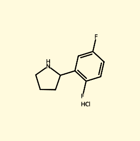 Cl.Fc1ccc(F)c(C2CCCN2)c1